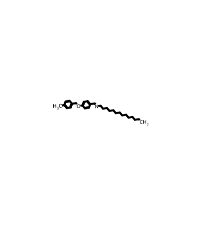 CCCCCCCCCCCCCCN=Cc1ccc(OCc2ccc(C)cc2)cc1